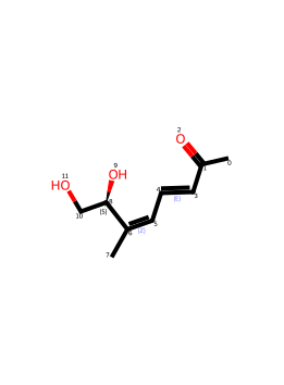 CC(=O)/C=C/C=C(/C)[C@H](O)CO